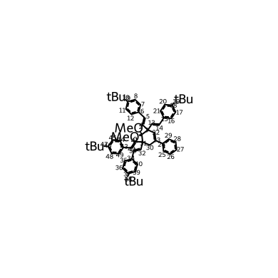 COC1(OC)C(C=Cc2ccc(C(C)(C)C)cc2)(C=Cc2ccc(C(C)(C)C)cc2)C=C(c2ccccc2)CC1(C=Cc1ccc(C(C)(C)C)cc1)C=Cc1ccc(C(C)(C)C)cc1